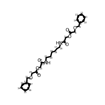 O=C(COC(=O)COCc1ccccc1)NCCCCCCNC(=O)COC(=O)COCc1ccccc1